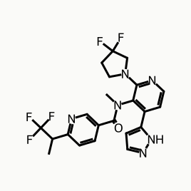 CC(c1ccc(C(=O)N(C)c2c(-c3ccn[nH]3)ccnc2N2CCC(F)(F)C2)cn1)C(F)(F)F